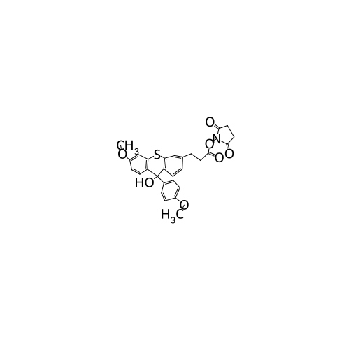 COc1ccc(C2(O)c3ccc(CCC(=O)ON4C(=O)CCC4=O)cc3Sc3cc(OC)ccc32)cc1